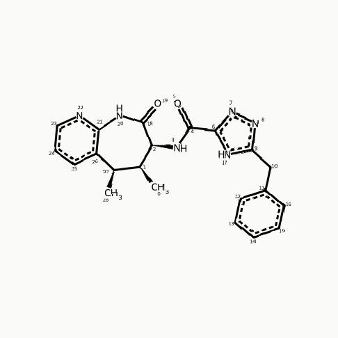 C[C@@H]1[C@H](NC(=O)c2nnc(Cc3ccccc3)[nH]2)C(=O)Nc2ncccc2[C@@H]1C